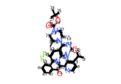 CC(C)c1ccnc(C(C)C)c1-n1c(=O)nc(N2[C@@H](C)CN(C(=O)OC(C)(C)C)C[C@@H]2C)c2cc(F)c(-c3c(F)cccc3C=O)nc21